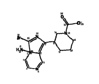 N[N+]12C=CN=CC1=C(C1CCCN(C(=O)[O-])C1)N=C2Br